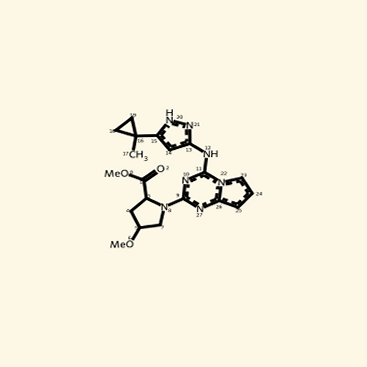 COC(=O)C1CC(OC)CN1c1nc(Nc2cc(C3(C)CC3)[nH]n2)n2cccc2n1